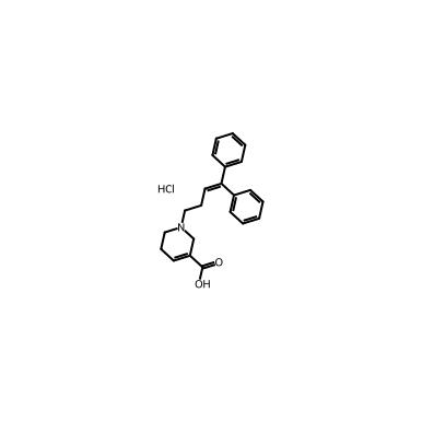 Cl.O=C(O)C1=CCCN(CCC=C(c2ccccc2)c2ccccc2)C1